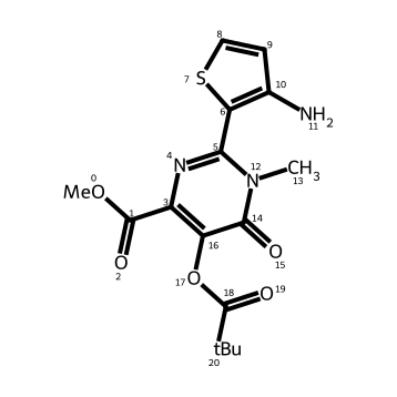 COC(=O)c1nc(-c2sccc2N)n(C)c(=O)c1OC(=O)C(C)(C)C